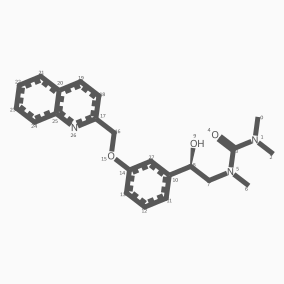 CN(C)C(=O)N(C)C[C@H](O)c1cccc(OCc2ccc3ccccc3n2)c1